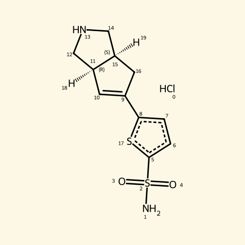 Cl.NS(=O)(=O)c1ccc(C2=C[C@H]3CNC[C@H]3C2)s1